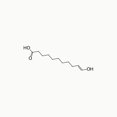 O=C(O)CCCCCCCC/C=C/O